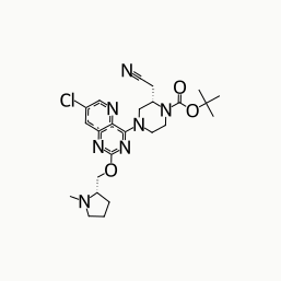 CN1CCC[C@H]1COc1nc(N2CCN(C(=O)OC(C)(C)C)[C@@H](CC#N)C2)c2ncc(Cl)cc2n1